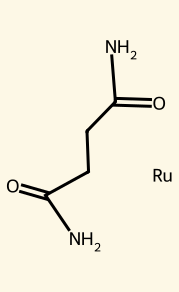 NC(=O)CCC(N)=O.[Ru]